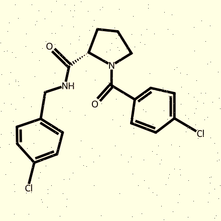 O=C(NCc1ccc(Cl)cc1)[C@@H]1CCCN1C(=O)c1ccc(Cl)cc1